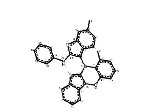 Cc1ccc2c(B3c4sc5ccccc5c4Oc4cccc(C)c43)c(Nc3ccccc3)oc2c1